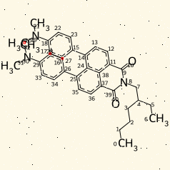 CCCCC(CC)CN1C(=O)c2ccc(-c3ccc(N(C)C)cc3)c3c(-c4ccc(N(C)C)cc4)ccc(c23)C1=O